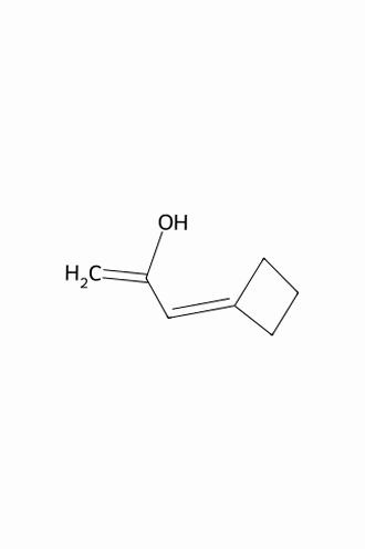 C=C(O)C=C1CCC1